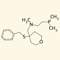 CN(CCP(C)C)CC1(SCc2ccccc2)CCOCC1